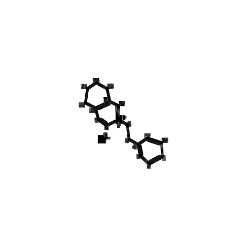 [Br-].c1ccc(CC[n+]2ccc3c(c2)CCCC3)cc1